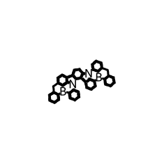 c1ccc2c(c1)Cc1cccc3c1B2c1cccc2c4c(ccc5c6ccc7c8c6n(c54)-c4ccccc4B8c4ccccc4C7)n-3c12